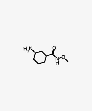 CONC(=O)[C@H]1CCC[C@@H](N)C1